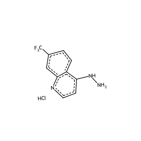 Cl.NNc1ccnc2cc(C(F)(F)F)ccc12